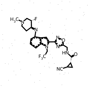 CN1CC/C(=N\c2cccc3c2cc(-c2noc(CNC(=O)[C@@H]4CC4C#N)n2)n3CC(F)(F)F)[C@@H](F)C1